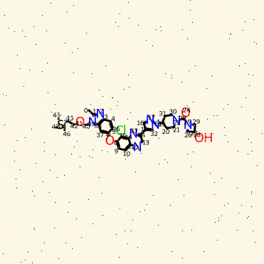 Cc1nc2ccc(Oc3ccc4ncc(-c5cnn(C6CCN(C(=O)N7CC(O)C7)CC6)c5)nc4c3Cl)cc2n1COCC[Si](C)(C)C